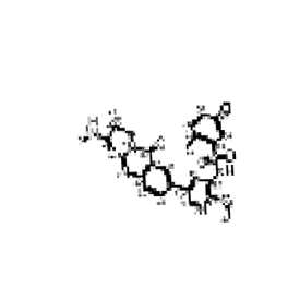 CNC(=O)[C@H](C)Cn1cnc2ccc(-c3cnc(OC)c(NS(=O)(=O)c4cc(Cl)ccc4C)c3)cc2c1=O